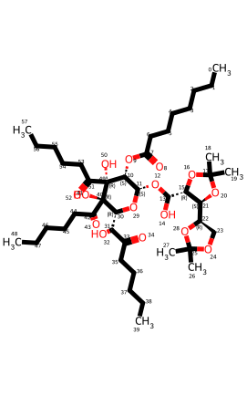 CCCCCCCC(=O)O[C@@H]1[C@H](OC(O)[C@@H]2OC(C)(C)O[C@H]2[C@H]2COC(C)(C)O2)O[C@H](C(O)C(=O)CCCCC)[C@](O)(C(=O)CCCCC)[C@@]1(O)C(=O)CCCCC